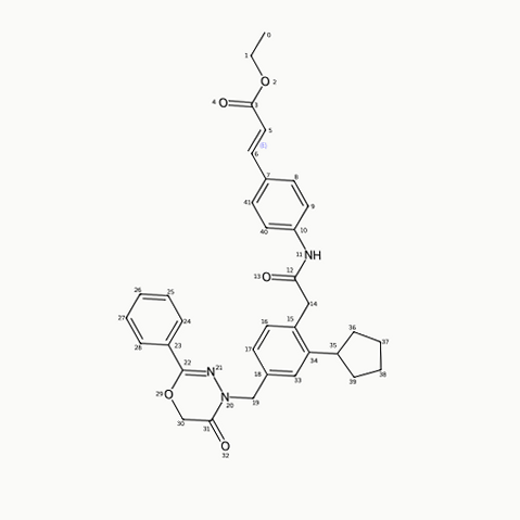 CCOC(=O)/C=C/c1ccc(NC(=O)Cc2ccc(CN3N=C(c4ccccc4)OCC3=O)cc2C2CCCC2)cc1